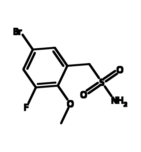 COc1c(F)cc(Br)cc1CS(N)(=O)=O